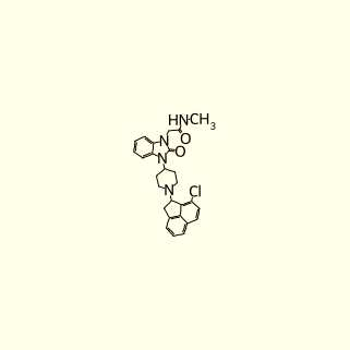 CNC(=O)Cn1c(=O)n(C2CCN(C3Cc4cccc5ccc(Cl)c3c45)CC2)c2ccccc21